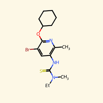 CCN(C)C(=S)Nc1cc(Br)c(OC2CCCCC2)nc1C